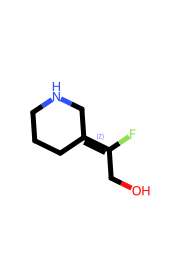 OC/C(F)=C1\CCCNC1